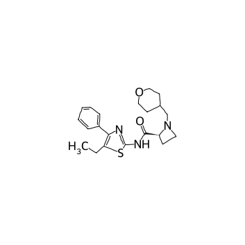 CCc1sc(NC(=O)[C@@H]2CCN2CC2CCOCC2)nc1-c1ccccc1